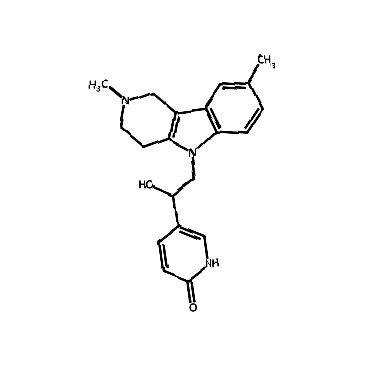 Cc1ccc2c(c1)c1c(n2CC(O)c2ccc(=O)[nH]c2)CCN(C)C1